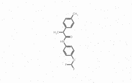 Cc1ccc(C(C)C(=O)Nc2ccc(OC(F)F)cc2)cc1